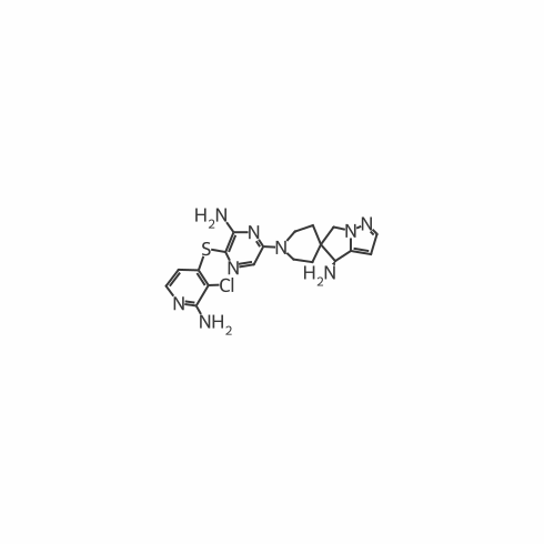 Nc1nc(N2CCC3(CC2)Cn2nccc2[C@H]3N)cnc1Sc1ccnc(N)c1Cl